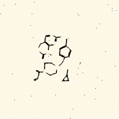 C=CC(=O)N1CCN([C@@H](CC2CC2)c2ccc([C@H](C)Nc3ncc4c(n3)N(CC)C(=O)OC4)cc2)CC1.O=S(=O)(O)OS(=O)(=O)O